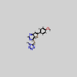 COc1ccc(-c2cc3ncnc(Sc4nnnn4C)c3s2)cc1